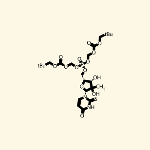 CC(C)(C)COC(=O)OCOP(=O)(OCOC(=O)OCC(C)(C)C)OC[C@H]1O[C@@H](n2ccc(=O)[nH]c2=S)C(C)(O)[C@H]1O